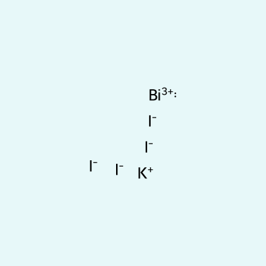 [Bi+3].[I-].[I-].[I-].[I-].[K+]